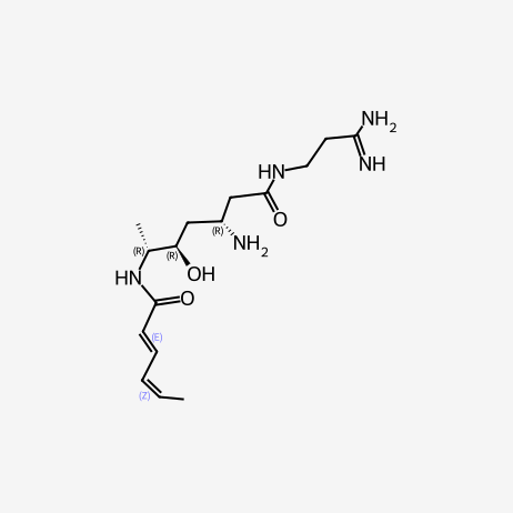 C/C=C\C=C\C(=O)N[C@H](C)[C@H](O)C[C@@H](N)CC(=O)NCCC(=N)N